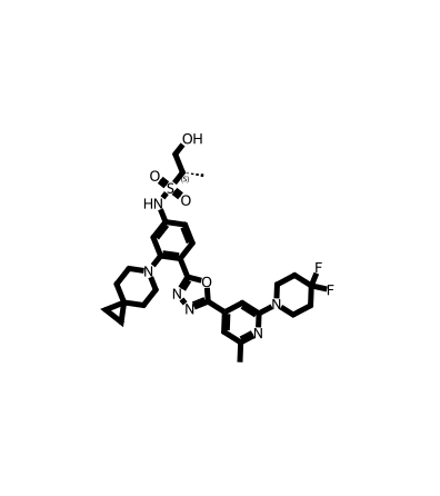 Cc1cc(-c2nnc(-c3ccc(NS(=O)(=O)[C@@H](C)CO)cc3N3CCC4(CC3)CC4)o2)cc(N2CCC(F)(F)CC2)n1